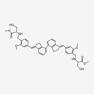 COC(=O)C(CO)NCc1ccc(/C=C2\CCc3c2cccc3-c2cccc3c2CC/C3=C\c2ccc(CNC(CO)C(=O)OC)c(OC)c2)cc1OC